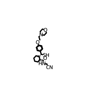 N#CCNC(=O)[C@H]1CCCC[C@@H]1C(S)c1ccc(OCCN2CCOCC2)cc1